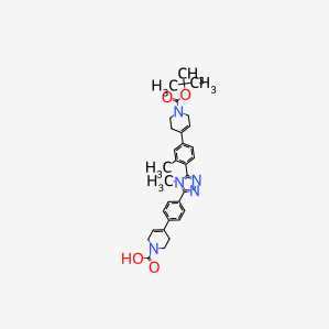 Cc1cc(C2=CCN(C(=O)OC(C)(C)C)CC2)ccc1-c1nnc(-c2ccc(C3=CCN(C(=O)O)CC3)cc2)n1C